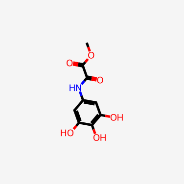 COC(=O)C(=O)Nc1cc(O)c(O)c(O)c1